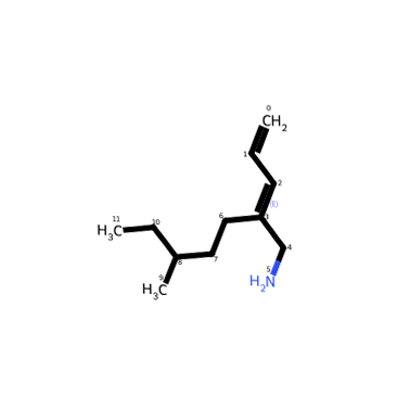 C=C/C=C(/CN)CCC(C)CC